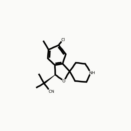 Cc1cc2c(cc1Cl)C1(CCNCC1)O[C@H]2C(C)(C)C#N